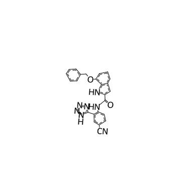 N#Cc1ccc(NC(=O)c2cc3cccc(OCc4ccccc4)c3[nH]2)c(-c2nnn[nH]2)c1